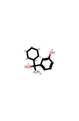 CC(O)(c1cccc(O)c1)C1CCCCC1